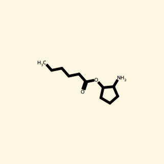 CCCCCC(=O)OC1CCCC1N